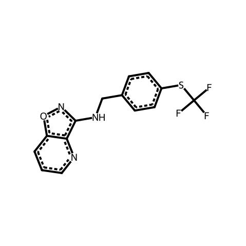 FC(F)(F)Sc1ccc(CNc2noc3cccnc23)cc1